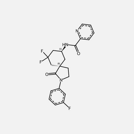 O=C(N[C@@H]1CC(F)(F)C[C@@]2(CCN(c3cccc(F)c3)C2=O)C1)c1ccccn1